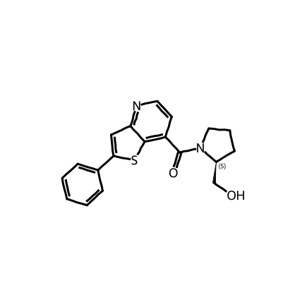 O=C(c1ccnc2cc(-c3ccccc3)sc12)N1CCC[C@H]1CO